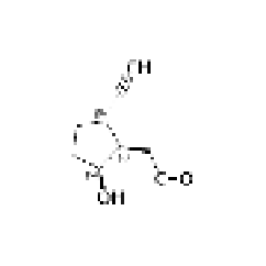 C#C[C@H]1CC[C@H](O)[C@@H]1CC=O